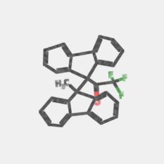 CC1(C2(C(=O)C(F)(F)F)c3ccccc3-c3ccccc32)c2ccccc2-c2ccccc21